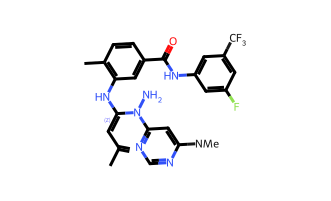 C=C(C)/C=C(/Nc1cc(C(=O)Nc2cc(F)cc(C(F)(F)F)c2)ccc1C)N(N)c1cc(NC)ncn1